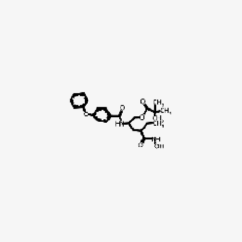 CCC(CC(COC(=O)C(C)(C)C)NC(=O)c1ccc(Oc2ccccc2)cc1)C(=O)NO